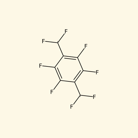 F[C](F)c1c(F)c(F)c([C](F)F)c(F)c1F